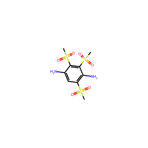 CS(=O)(=O)c1cc(N)c(S(C)(=O)=O)c(S(C)(=O)=O)c1N